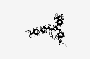 COCC1(C)CCCN(Cc2sc(NC(=O)c3cnc(N4CCC(C(=O)O)CC4)cn3)nc2-c2ccc(OC)c(C(F)(F)F)c2)C1